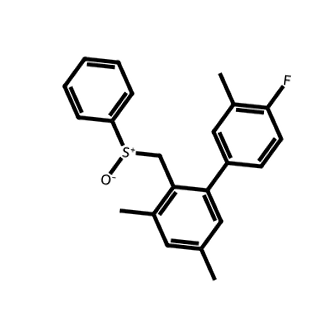 Cc1cc(C)c(C[S+]([O-])c2ccccc2)c(-c2ccc(F)c(C)c2)c1